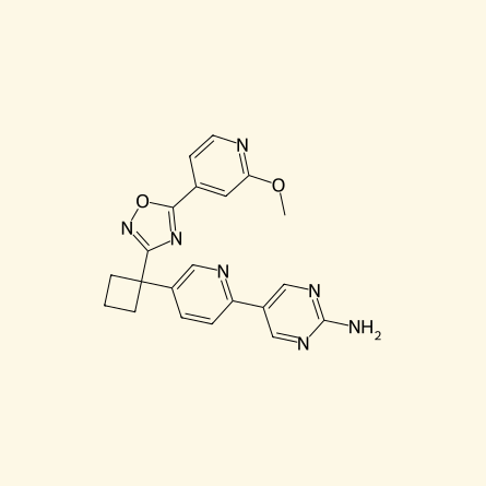 COc1cc(-c2nc(C3(c4ccc(-c5cnc(N)nc5)nc4)CCC3)no2)ccn1